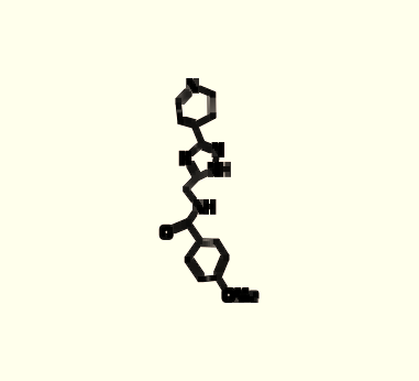 COc1ccc(C(=O)NCc2nc(-c3ccncc3)n[nH]2)cc1